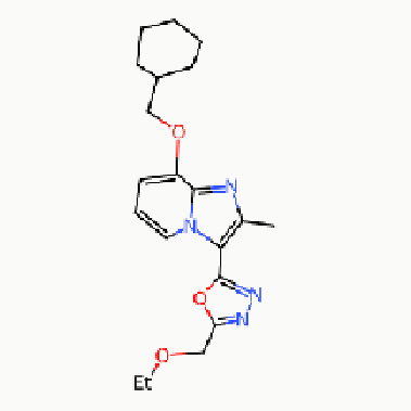 CCOCc1nnc(-c2c(C)nc3c(OCC4CCCCC4)cccn23)o1